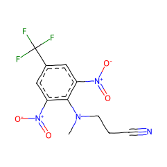 CN(CCC#N)c1c([N+](=O)[O-])cc(C(F)(F)F)cc1[N+](=O)[O-]